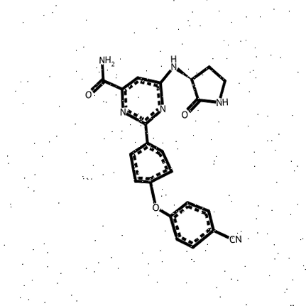 N#Cc1ccc(Oc2ccc(-c3nc(N[C@H]4CCNC4=O)cc(C(N)=O)n3)cc2)cc1